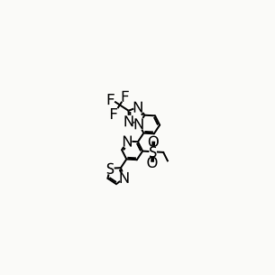 CCS(=O)(=O)c1cc(-c2nccs2)cnc1-c1cccc2nc(C(F)(F)F)nn12